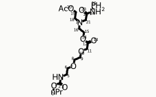 CCCOC(=O)NCCOCCOCC(=O)OCCN(CCOC(C)=O)CC(=O)NP